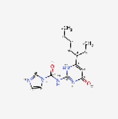 CCCCC(CC)c1cc(=O)nc(NC(=O)n2ccnc2)[nH]1